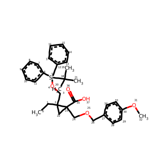 CCC1(CO[Si](c2ccccc2)(c2ccccc2)C(C)(C)C)CC1(COCc1ccc(OC)cc1)C(=O)O